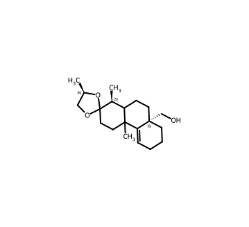 C[C@@H]1COC2(CCC3(C)C4=CCCC[C@]4(CO)CCC3[C@@H]2C)O1